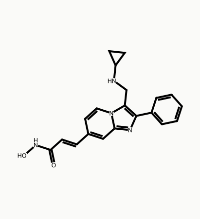 O=C(/C=C/c1ccn2c(CNC3CC3)c(-c3ccccc3)nc2c1)NO